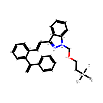 C=C(c1ccccc1)c1ccccc1C=Cc1nn(COCC[Si](CC)(CC)CC)c2ccccc12